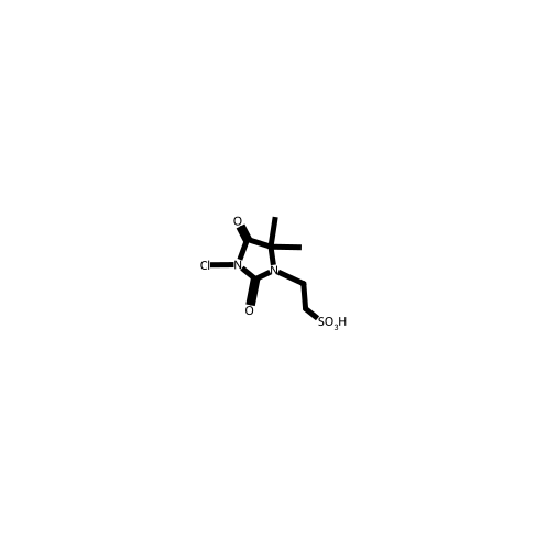 CC1(C)C(=O)N(Cl)C(=O)N1CCS(=O)(=O)O